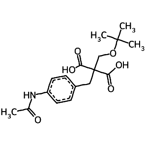 CC(=O)Nc1ccc(CC(COC(C)(C)C)(C(=O)O)C(=O)O)cc1